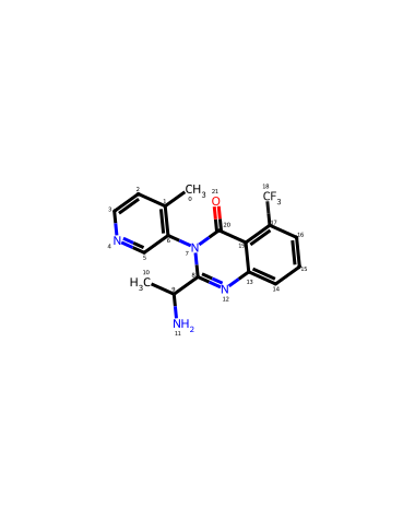 Cc1ccncc1-n1c(C(C)N)nc2cccc(C(F)(F)F)c2c1=O